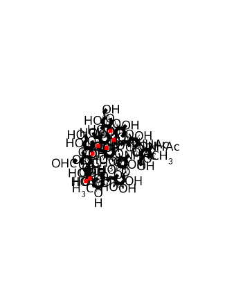 CC(=O)NC1C(O)[C@H](O[C@@H]2OC(CO[C@]3(OC=O)C[C@@H](O)[C@@H](C)C([C@H](O)[C@H](O)CO)O3)[C@H](O)[C@H](O)C2O)[C@H](CO)O[C@H]1OC1[C@@H](OCC2O[C@@H](O[C@@H]3C(CO)O[C@@H](O[C@@H]4C(CO)O[C@@H](C)C(NC(C)=O)[C@H]4O)C(NC(C)=O)[C@H]3O)C(O)[C@@H](O[C@H]3O[C@H](CO)[C@@H](O)C(O)C3O[C@@H]3OC(CO)[C@@H](O[C@@H]4OC(CO)[C@H](O)[C@H](OC5[C@H](OC=O)OC([C@H](O)[C@H](O)CO)[C@H](C)[C@@H]5O)C4O)[C@H](O)C3NC(C)=O)[C@@H]2O)OC(CO)[C@@H](O)[C@@H]1O